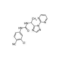 CC(NC(=O)Nc1ccc(C#N)c(Cl)c1)c1ncnn1-c1ncccn1